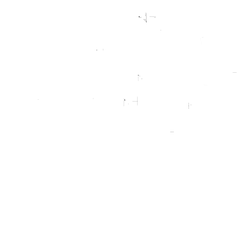 CCC(N(NC(=O)c1cc(OC)ccc1OC)C(N)=O)(C(F)(F)F)C(F)(F)F